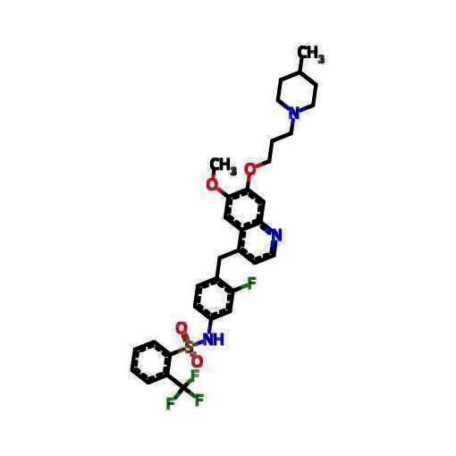 COc1cc2c(Cc3ccc(NS(=O)(=O)c4ccccc4C(F)(F)F)cc3F)ccnc2cc1OCCCN1CCC(C)CC1